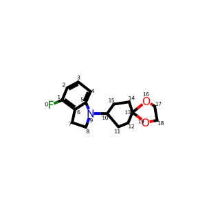 Fc1cccc2c1CCN2C1CCC2(CC1)OCCO2